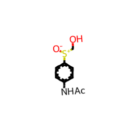 CC(=O)Nc1ccc([S+]([O-])CO)cc1